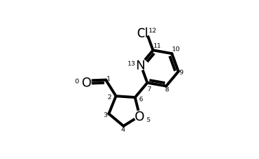 O=CC1CCOC1c1cccc(Cl)n1